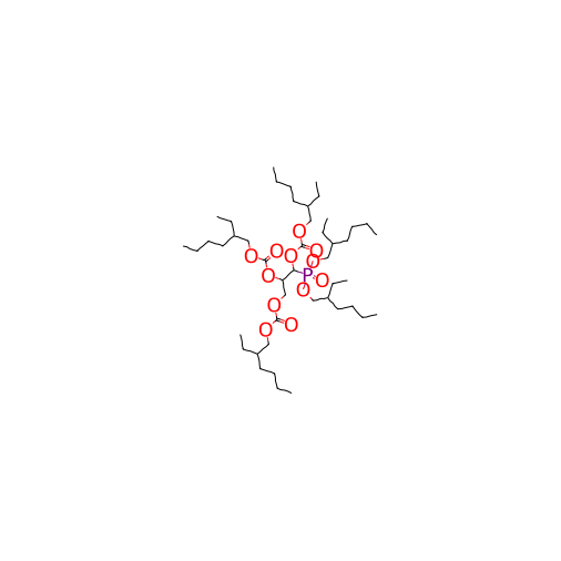 CCCCC(CC)COC(=O)OCC(OC(=O)OCC(CC)CCCC)C(OC(=O)OCC(CC)CCCC)P(=O)(OCC(CC)CCCC)OCC(CC)CCCC